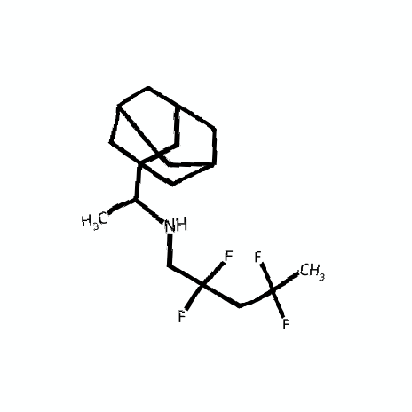 CC(NCC(F)(F)CC(C)(F)F)C12CC3CC(CC(C3)C1)C2